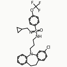 O=S(=NCC1CC1)(NCCCN1c2ccccc2CCc2ccc(Cl)cc21)c1ccc(OC(F)(F)F)cc1